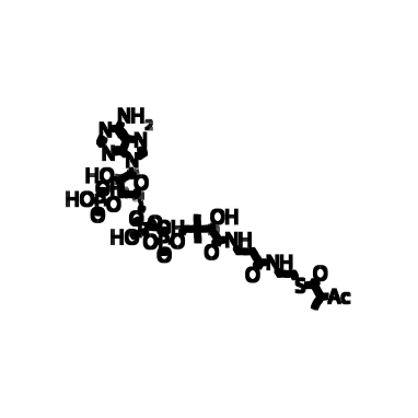 CC(=O)C(C)C(=O)SCCNC(=O)CCNC(=O)[C@H](O)C(C)(C)COP(=O)(O)OP(=O)(O)OC[C@H]1O[C@@H](n2cnc3c(N)ncnc32)[C@H](O)[C@@H]1OP(=O)(O)O